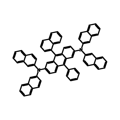 c1ccc(-c2c3cc(N(c4ccc5ccccc5c4)c4ccc5ccccc5c4)ccc3c(-c3cccc4ccccc34)c3cc(N(c4ccc5ccccc5c4)c4ccc5ccccc5c4)ccc23)cc1